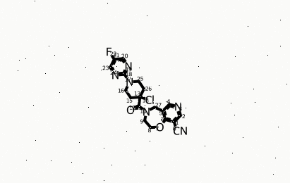 N#Cc1cncc2c1OCCN(C(=O)C1(Cl)CCN(c3ncc(F)cn3)CC1)C2